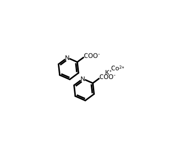 O=C([O-])c1ccccn1.O=C([O-])c1ccccn1.[Co+2].[K+]